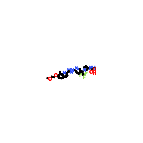 COCCOc1ccc2ccc(C=NNc3ccc([C@@H](N4CCC(NC(=O)O)C4)C(F)(F)F)cn3)nc2c1C